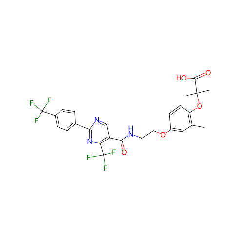 Cc1cc(OCCNC(=O)c2cnc(-c3ccc(C(F)(F)F)cc3)nc2C(F)(F)F)ccc1OC(C)(C)C(=O)O